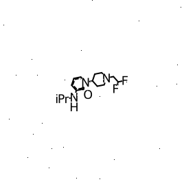 CC(C)Nc1cccn(C2CCN(CC(F)F)CC2)c1=O